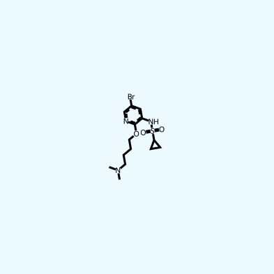 CN(C)CCCCOc1ncc(Br)cc1NS(=O)(=O)C1CC1